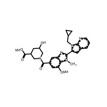 COC(=O)C1CC(O)CN(C(=O)c2cc(OC)c3c(c2)nc(-c2cc4cccnc4n2CC2CC2)n3C)C1